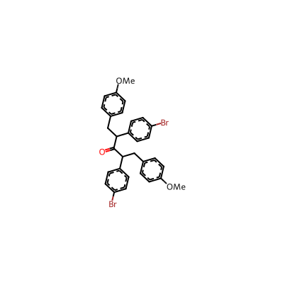 COc1ccc(CC(C(=O)C(Cc2ccc(OC)cc2)c2ccc(Br)cc2)c2ccc(Br)cc2)cc1